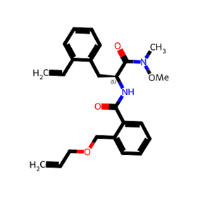 C=CCOCc1ccccc1C(=O)N[C@@H](Cc1ccccc1C=C)C(=O)N(C)OC